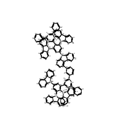 c1ccc(-c2nc(-c3cccc(-c4cccc5c4c4ccccc4n5-c4cc(-n5c6ccccc6c6ccccc65)c(-c5nc(-c6ccccc6)nc(-c6ccccc6)n5)c(-n5c6ccccc6c6ccccc65)c4)c3)nc(-c3cc(-n4c5ccccc5c5ccccc54)cc(-n4c5ccccc5c5ccccc54)c3-n3c4ccccc4c4ccccc43)n2)cc1